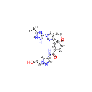 CC(C)c1n[nH]c(-n2cc3c(n2)-c2cc(C(=O)Nc4cnn(CCO)c4)ccc2OCC3)n1